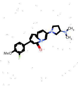 COc1ccc(C2=C\C(=O)N3C=C(N4CC[C@@H](N(C)C)C4)C=C\C3=C/C=C/2)cc1F